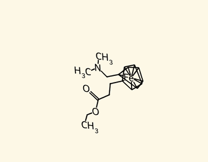 CCOC(=O)CC[C]12[CH]3[CH]4[CH]5[CH]1[Fe]45321678[CH]2[CH]1[CH]6[C]7(CN(C)C)[CH]28